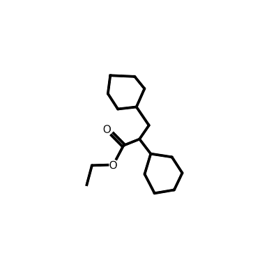 CCOC(=O)C(CC1CCCCC1)C1CCCCC1